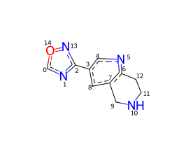 c1nc(-c2cnc3c(c2)CNCC3)no1